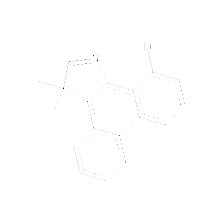 CC1(C)C=Nc2c1c1ccccc1c1ccc[c]([Lr])c21